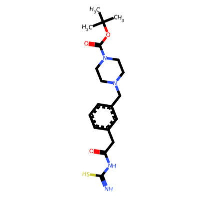 CC(C)(C)OC(=O)N1CCN(Cc2cccc(CC(=O)NC(=N)S)c2)CC1